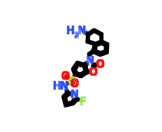 NC1CCc2cccc(Cn3c(=O)oc4cc(S(=O)(=O)Nc5cccc(F)n5)ccc43)c2C1